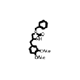 COc1ccc(CC2CN(Cc3ccccc3)C(=O)N2)cc1OC